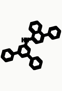 c1ccc(-c2cc(Nc3ccc(-c4ccccc4)c4ccccc34)cc(-c3ccccc3)c2)cc1